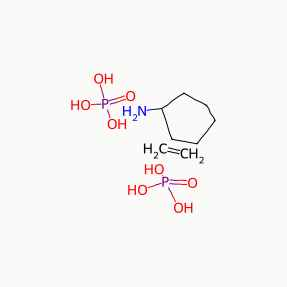 C=C.NC1CCCCC1.O=P(O)(O)O.O=P(O)(O)O